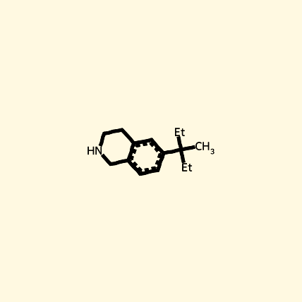 CCC(C)(CC)c1ccc2c(c1)CCNC2